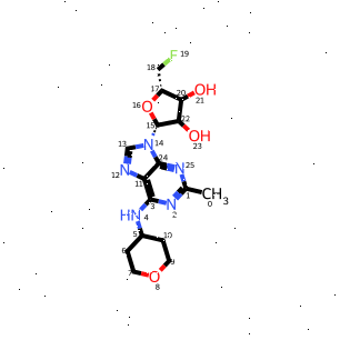 Cc1nc(NC2CCOCC2)c2ncn([C@@H]3O[C@H](CF)C(O)C3O)c2n1